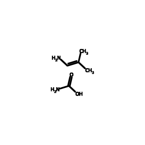 CC(C)=CN.NC(=O)O